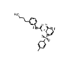 CC1=CCC(S(=O)(=O)N2C=CNC(=O)[C@H]2CC(=O)Nc2cccc(CCCO)c2)C=C1